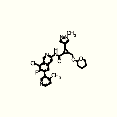 Cc1ccncc1-c1cc2cc(NC(=O)C3C(COC4CCCCO4)C3c3cnn(C)c3)ncc2c(Cl)c1F